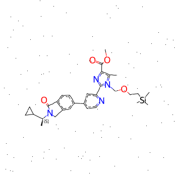 COC(=O)c1nc(-c2cc(-c3ccc4c(c3)CN([C@@H](C)C3CC3)C4=O)ccn2)n(COCC[Si](C)(C)C)c1C